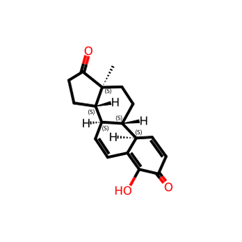 C[C@]12CC[C@H]3[C@@H](C=CC4=C(O)C(=O)C=C[C@@H]43)[C@@H]1CCC2=O